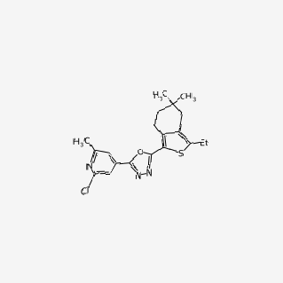 CCc1sc(-c2nnc(-c3cc(C)nc(Cl)c3)o2)c2c1CC(C)(C)CC2